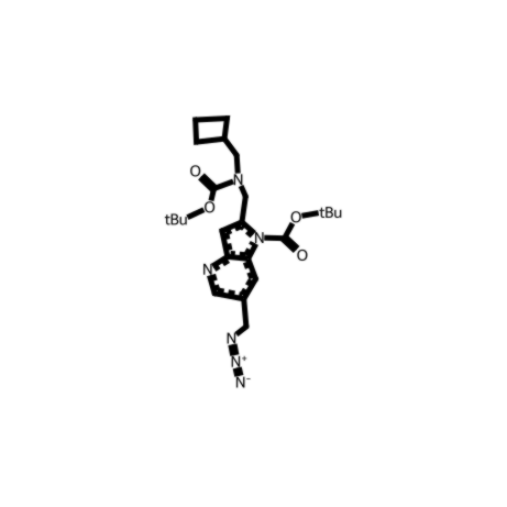 CC(C)(C)OC(=O)N(Cc1cc2ncc(CN=[N+]=[N-])cc2n1C(=O)OC(C)(C)C)CC1CCC1